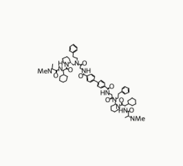 CN[C@@H](C)C(=O)N[C@H](C(=O)N1CCCCC1N(CCc1ccccc1)C(=O)CNC(=O)c1ccc(-c2ccc(C(=O)NCC(=O)N(CCc3ccccc3)C[C@@H]3CCCCN3C(=O)[C@@H](NC(=O)[C@H](C)NC)C3CCCCC3)cc2)cc1)C1CCCCC1